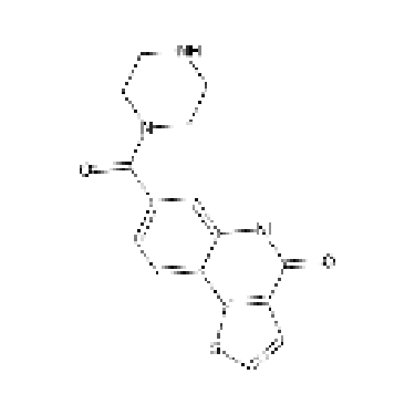 O=C(c1ccc2c(c1)[nH]c(=O)c1ccsc12)N1CCNCC1